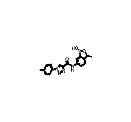 Cc1ccc(-n2cc(C(=O)Nc3ccc4c(c3)B(O)OC4C)nn2)cc1